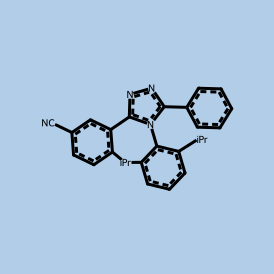 Cc1ccc(C#N)cc1-c1nnc(-c2ccccc2)n1-c1c(C(C)C)cccc1C(C)C